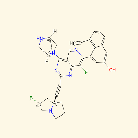 C#Cc1cccc2cc(O)cc(-c3ncc4c(N5C[C@H]6C[C@@H]5CN6)nc(C#C[C@@]56CCCN5C[C@H](F)C6)nc4c3F)c12